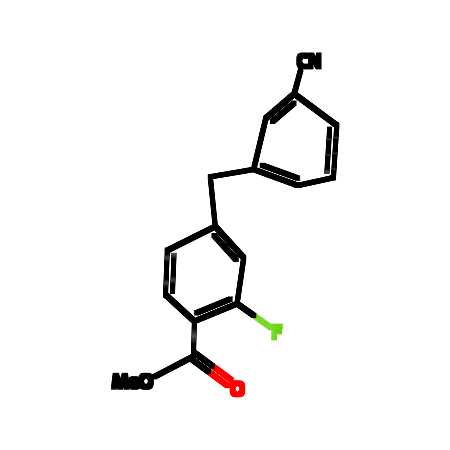 COC(=O)c1ccc(Cc2cccc(C#N)c2)cc1F